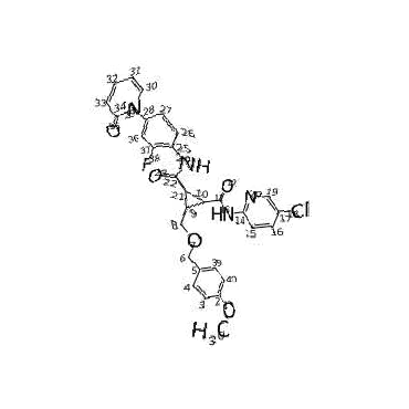 COc1ccc(COCC2C(C(=O)Nc3ccc(Cl)cn3)C2C(=O)Nc2ccc(-n3ccccc3=O)cc2F)cc1